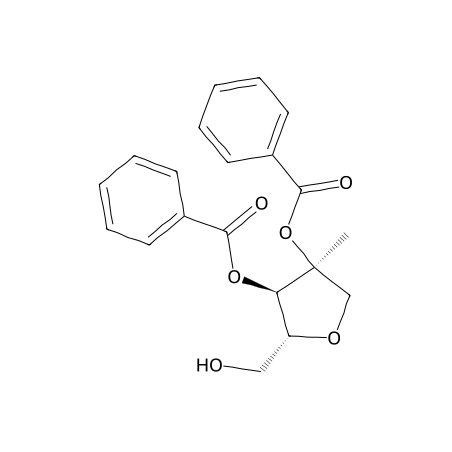 C[C@]1(OC(=O)c2ccccc2)CO[C@H](CO)[C@H]1OC(=O)c1ccccc1